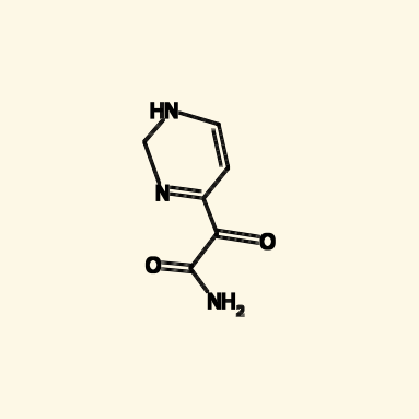 NC(=O)C(=O)C1=NCNC=C1